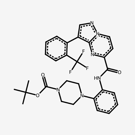 CC(C)(C)OC(=O)N1CCN(c2ccccc2NC(=O)c2ccn3ncc(-c4ccccc4C(F)(F)F)c3n2)CC1